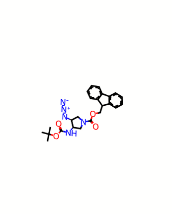 CC(C)(C)OC(=O)N[C@@H]1CN(C(=O)OCC2c3ccccc3-c3ccccc32)C[C@@H]1N=[N+]=[N-]